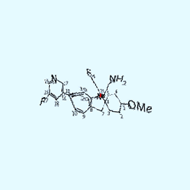 COC1CCC2(CC1)Cc1ccc(-c3cncc(F)c3)cc1C21C=C(F)C(N)=N1